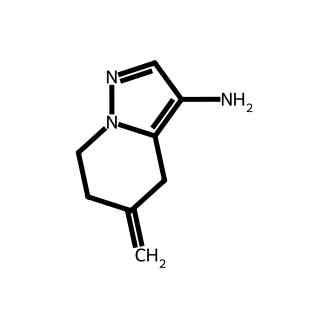 C=C1CCn2ncc(N)c2C1